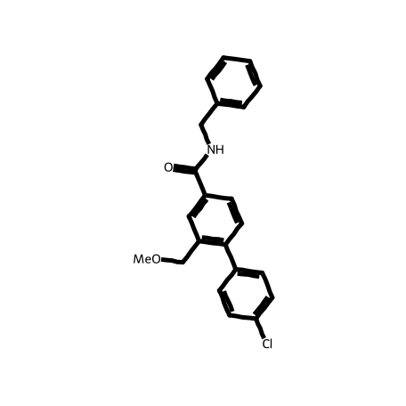 COCc1cc(C(=O)NCc2ccccc2)ccc1-c1ccc(Cl)cc1